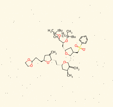 C=C1C[C@H](CCC2OCCO2)O[C@H]1CC[C@H]1C[C@H](C)C(=C)[C@@H](C[C@@H]2O[C@H](C[C@@H](CO[Si](C)(C)C(C)(C)C)O[Si](C)(C)C(C)(C)C)C[C@H]2CS(=O)(=O)c2ccccc2)O1